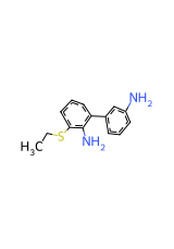 CCSc1cccc(-c2cccc(N)c2)c1N